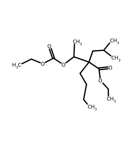 CCCCC(CC(C)C)(C(=O)OCC)C(C)OC(=O)OCC